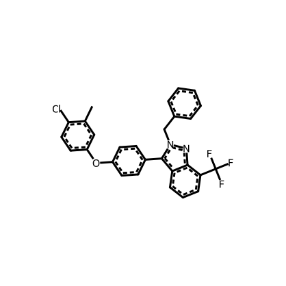 Cc1cc(Oc2ccc(-c3c4cccc(C(F)(F)F)c4nn3Cc3ccccc3)cc2)ccc1Cl